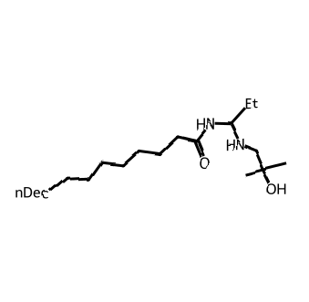 CCCCCCCCCCCCCCCCCC(=O)NC(CC)NCC(C)(C)O